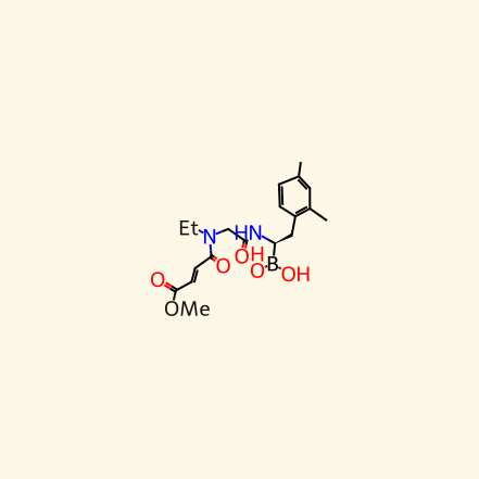 CCN(CC(=O)N[C@@H](Cc1ccc(C)cc1C)B(O)O)C(=O)/C=C/C(=O)OC